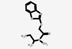 CCC(C)N(C)C(=O)COc1nc2ccccc2o1